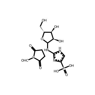 O=CN1C(=O)CCC1=O.O=P(O)(O)c1c[nH]c(NC2O[C@H](CO)[C@@H](O)[C@H]2O)n1